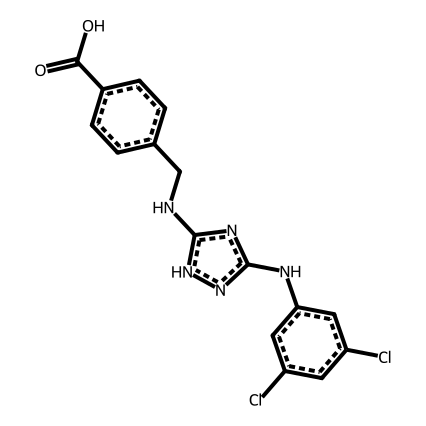 O=C(O)c1ccc(CNc2nc(Nc3cc(Cl)cc(Cl)c3)n[nH]2)cc1